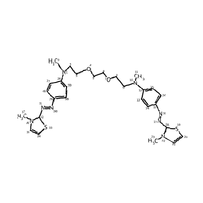 CN(CCOCCOCCN(C)c1ccc(N=NC2SC=CN2C)cc1)c1ccc(N=NC2SC=CN2C)cc1